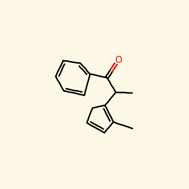 CC1=C(C(C)C(=O)c2ccccc2)CC=C1